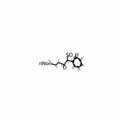 CCCCCCCCCCCC(=O)C(c1ccccc1)S(=O)(=O)O